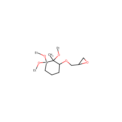 CCOC1(C)C(OCC2CO2)CCC[Si]1(OCC)OCC